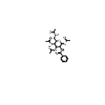 CC(=O)NCC1OC(OC(C)=O)C(NC(=O)c2ccccc2)C(OC(C)=O)C1OC(C)=O